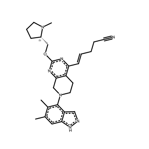 Cc1cc2[nH]ncc2c(N2CCc3c(C=CCCC#N)nc(OC[C@@H]4CCCN4C)nc3C2)c1C